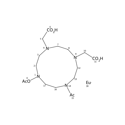 CC(=O)ON1CCN(CC(=O)O)CCN(CC(=O)O)CCN(C(C)=O)CC1.[Eu]